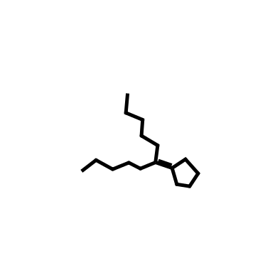 CCCCCC(CCCCC)=C1CCCC1